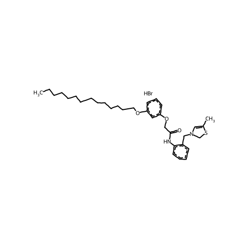 Br.CCCCCCCCCCCCCCOc1cccc(OCC(=O)Nc2ccccc2CN2C=C(C)SC2)c1